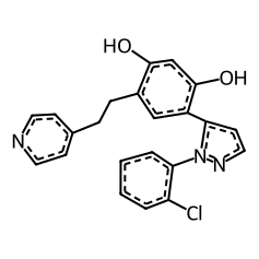 Oc1cc(O)c(-c2ccnn2-c2ccccc2Cl)cc1CCc1ccncc1